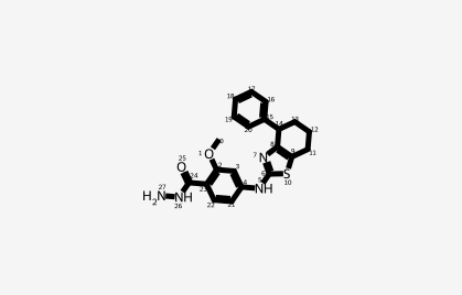 COc1cc(Nc2nc3c(s2)CCCC3c2ccccc2)ccc1C(=O)NN